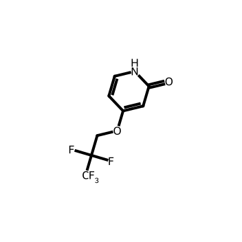 O=c1cc(OCC(F)(F)C(F)(F)F)cc[nH]1